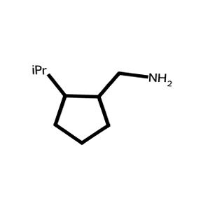 CC(C)C1CCCC1CN